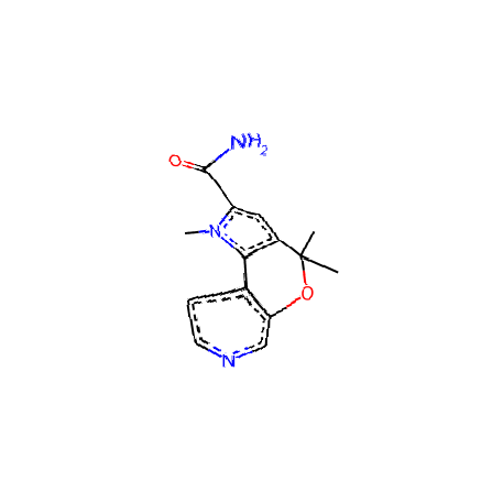 Cn1c(C(N)=O)cc2c1-c1ccncc1OC2(C)C